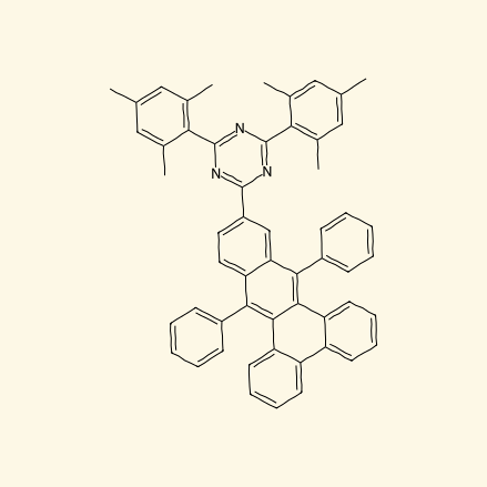 Cc1cc(C)c(-c2nc(-c3ccc4c(-c5ccccc5)c5c6ccccc6c6ccccc6c5c(-c5ccccc5)c4c3)nc(-c3c(C)cc(C)cc3C)n2)c(C)c1